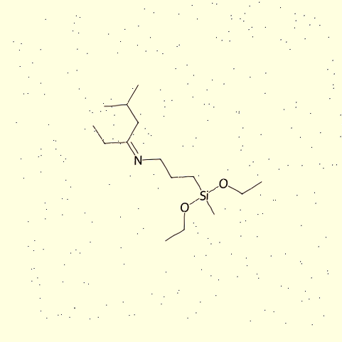 CCO[Si](C)(CCCN=C(CC)CC(C)C)OCC